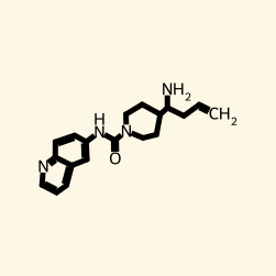 C=CCC(N)C1CCN(C(=O)Nc2ccc3ncccc3c2)CC1